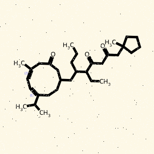 CCCC(CC1CC/C(C(C)C)=C\C=C(\C)CC(=O)C1)C(CC)C(=O)CC(=O)CC1(C)CCCC1